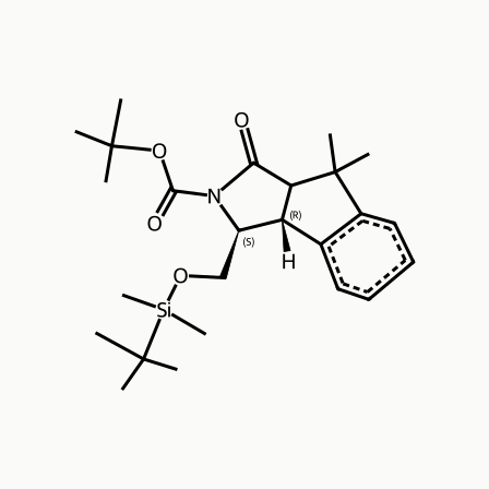 CC(C)(C)OC(=O)N1C(=O)C2[C@H](c3ccccc3C2(C)C)[C@H]1CO[Si](C)(C)C(C)(C)C